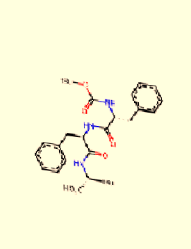 CC(C)(C)OC(=O)N[C@H](Cc1ccccc1)C(=O)N[C@H](Cc1ccccc1)C(=O)N[C@@H](C(=O)O)C(C)(C)C